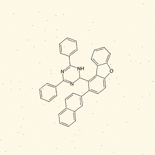 c1ccc(C2=NC(c3c(-c4ccc5ccccc5c4)ccc4oc5ccccc5c34)NC(c3ccccc3)=N2)cc1